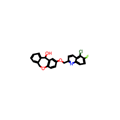 OC1c2ccccc2COc2ccc(OCc3ccc4c(Cl)c(F)ccc4n3)cc21